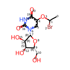 CC(Br)Oc1cn([C@@H]2O[C@H](CO)[C@@H](O)[C@H]2O)c(=O)[nH]c1=O